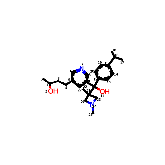 CC(O)CCc1cncc(C(O)(c2ccc(C(C)C)cc2)C2(C)CN(C)C2)c1